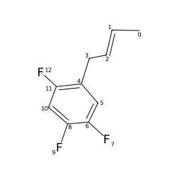 CC=CCc1cc(F)c(F)cc1F